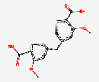 COc1cc(Cc2ccc(C(=O)O)c(OC)c2)ccc1C(=O)O